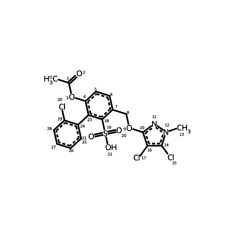 CC(=O)Oc1ccc(COc2nn(C)c(Cl)c2Cl)c(S(=O)(=O)O)c1-c1ccccc1Cl